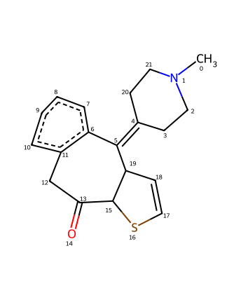 CN1CCC(=C2c3ccccc3CC(=O)C3SC=CC23)CC1